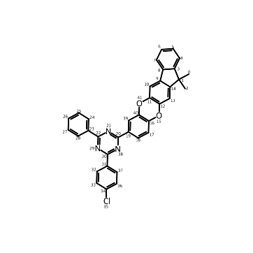 CC1(C)c2ccccc2-c2cc3c(cc21)Oc1ccc(-c2nc(-c4ccccc4)nc(-c4ccc(Cl)cc4)n2)cc1O3